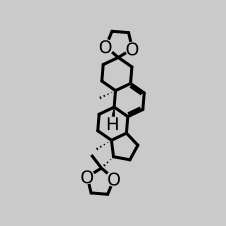 CC1([C@H]2CCC3C4=CC=C5CC6(CC[C@]5(C)[C@H]4CC[C@@]32C)OCCO6)OCCO1